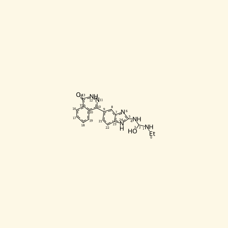 CCNC(O)Nc1nc2cc(-c3n[nH]c(=O)c4ccccc34)ccc2[nH]1